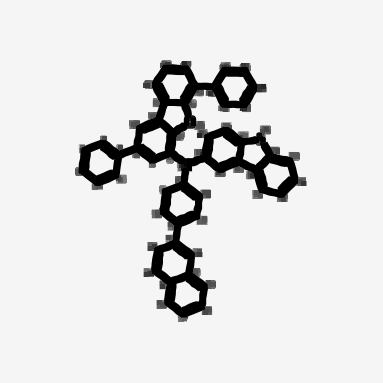 c1ccc(-c2cc(N(c3ccc(-c4ccc5ccccc5c4)cc3)c3ccc4sc5ccccc5c4c3)c3oc4c(-c5ccccc5)cccc4c3c2)cc1